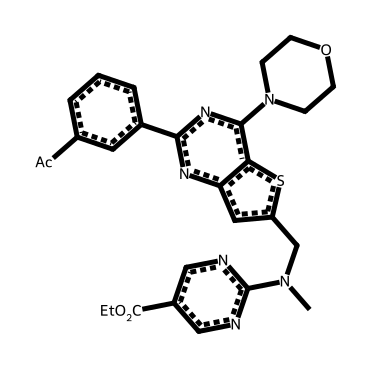 CCOC(=O)c1cnc(N(C)Cc2cc3nc(-c4cccc(C(C)=O)c4)nc(N4CCOCC4)c3s2)nc1